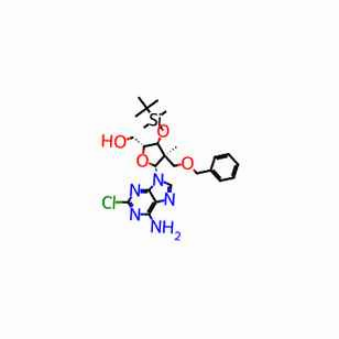 CC(C)(C)[Si](C)(C)O[C@@H]1[C@@H](CO)O[C@@H](n2cnc3c(N)nc(Cl)nc32)[C@]1(C)COCc1ccccc1